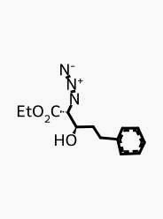 CCOC(=O)[C@H](N=[N+]=[N-])[C@H](O)CCc1ccccc1